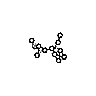 c1ccc(-c2ccc(N(c3ccc(-c4ccc5c(c4)c4ccc6c(ccn6-c6ccccc6)c4n5-c4ccccc4)cc3)c3ccc4c(c3)C3(c5ccccc5-c5ccccc53)c3ccccc3-4)cc2)cc1